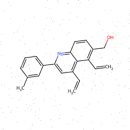 C=Cc1cc(-c2cccc(C)c2)nc2ccc(CO)c(C=C)c12